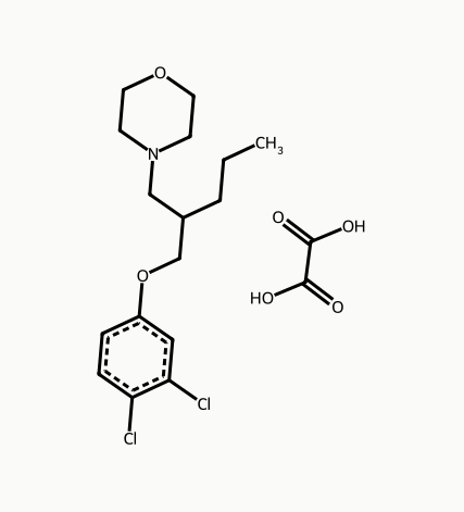 CCCC(COc1ccc(Cl)c(Cl)c1)CN1CCOCC1.O=C(O)C(=O)O